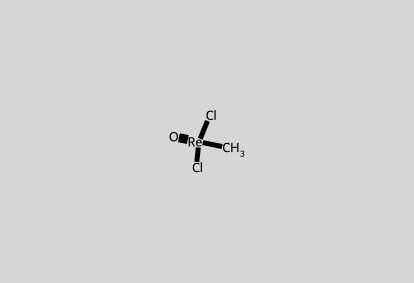 [CH3][Re](=[O])([Cl])[Cl]